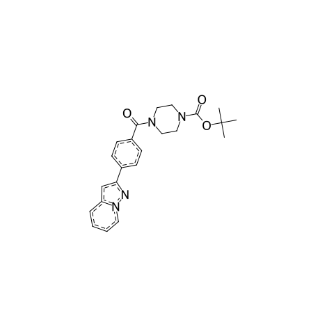 CC(C)(C)OC(=O)N1CCN(C(=O)c2ccc(-c3cc4ccccn4n3)cc2)CC1